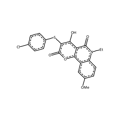 CCn1c(=O)c2c(O)c(Sc3ccc(Cl)cc3)c(=O)oc2c2cc(OC)ccc21